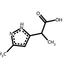 Cc1cc(C(C)C(=O)O)[nH]n1